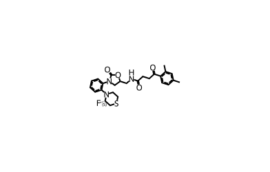 Cc1ccc(C(=O)CCC(=O)NCC2CN(c3ccccc3N3CCSC[C@@H]3F)C(=O)O2)c(C)c1